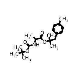 Cc1ccc(CC(C)(C)OC(=O)C(C)NC(=O)OC(C)(C)C)cc1